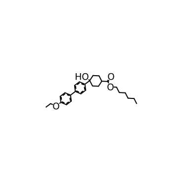 CCCCCCOC(=O)C1CCC(O)(c2ccc(-c3ccc(OCC)cc3)cc2)CC1